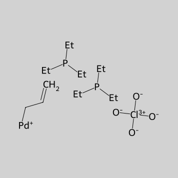 C=C[CH2][Pd+].CCP(CC)CC.CCP(CC)CC.[O-][Cl+3]([O-])([O-])[O-]